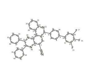 N#Cc1cc2c(-c3ccc(-c4cc(F)c(F)c(F)c4)cc3)nc3ccccc3c2c2nc(-c3ccccc3)c(-c3ccccc3)nc12